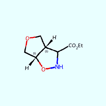 CCOC(=O)C1NO[C@@H]2COC[C@H]12